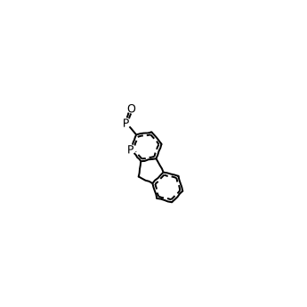 O=Pc1ccc2c(p1)Cc1ccccc1-2